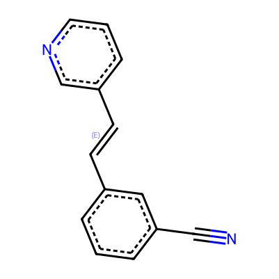 N#Cc1cccc(/C=C/c2cccnc2)c1